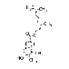 CC(C)=CCCC(C)=CCOC(=O)c1cc2cc(O)c(C)c(C)c2o1